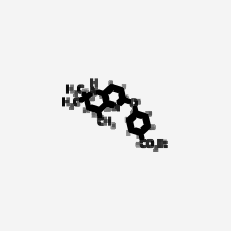 CCOC(=O)c1ccc(Oc2ccc3c(n2)C(C)=CC(C)(C)N3)cc1